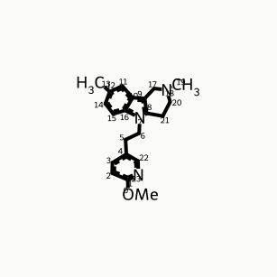 COc1ccc(CCn2c3c(c4cc(C)ccc42)CN(C)CC3)cn1